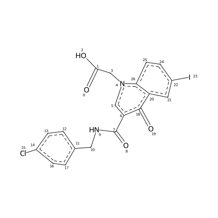 O=C(O)Cn1cc(C(=O)NCc2ccc(Cl)cc2)c(=O)c2cc(I)ccc21